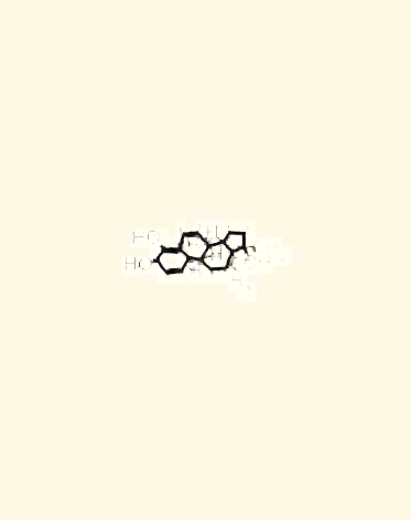 C[C@]1(O)CC[C@H]2[C@@H]3C=CC4=C(O)C(O)C=C[C@@H]4[C@H]3CC[C@@]21C